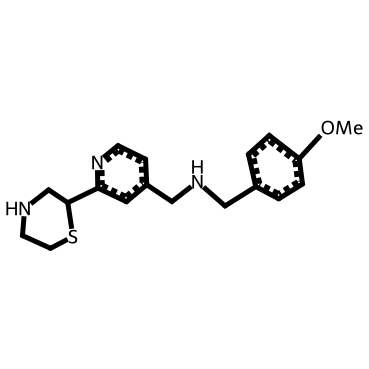 COc1ccc(CNCc2ccnc(C3CNCCS3)c2)cc1